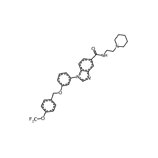 O=C(NCCN1CCCCC1)c1ccc2c(c1)ncn2-c1cccc(OCc2ccc(OC(F)(F)F)cc2)c1